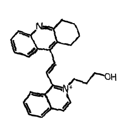 OCCC[n+]1ccc2ccccc2c1/C=C/c1c2c(nc3ccccc13)CCCC2